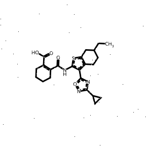 CCC1CCc2c(sc(NC(=O)C3=C(C(=O)O)CCCC3)c2-c2nc(C3CC3)no2)C1